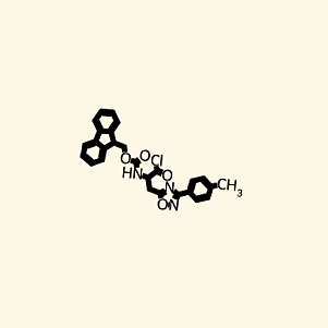 Cc1ccc(-c2noc(CC(NC(=O)OCC3c4ccccc4-c4ccccc43)C(=O)Cl)n2)cc1